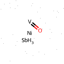 [Ni].[O]=[V].[SbH3]